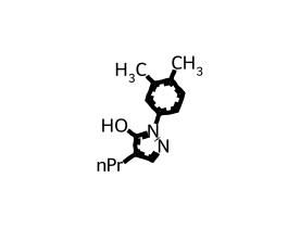 CCCc1cnn(-c2ccc(C)c(C)c2)c1O